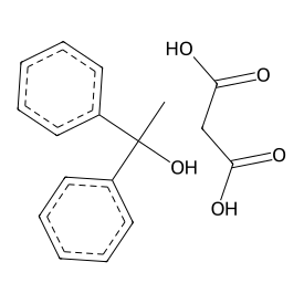 CC(O)(c1ccccc1)c1ccccc1.O=C(O)CC(=O)O